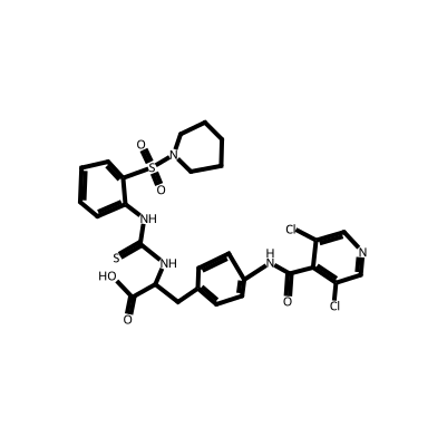 O=C(Nc1ccc(CC(NC(=S)Nc2ccccc2S(=O)(=O)N2CCCCC2)C(=O)O)cc1)c1c(Cl)cncc1Cl